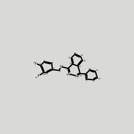 Fc1ccc(CSc2nnc(-c3ccccc3)c3ccccc23)cc1F